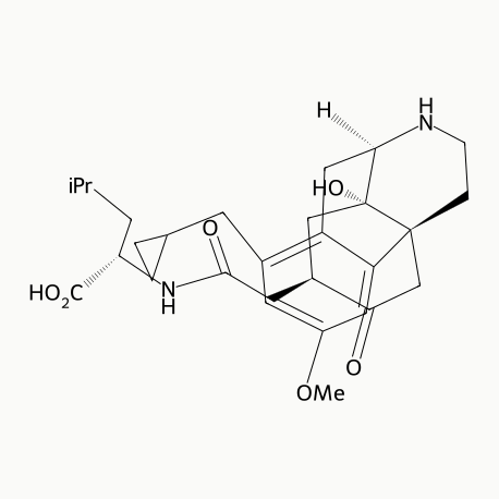 COc1cc(CC2CC2)c2c(c1)[C@]13CCN[C@H](C2)[C@]1(O)C[C@H](CC(=O)N[C@@H](CC(C)C)C(=O)O)C(=O)C3